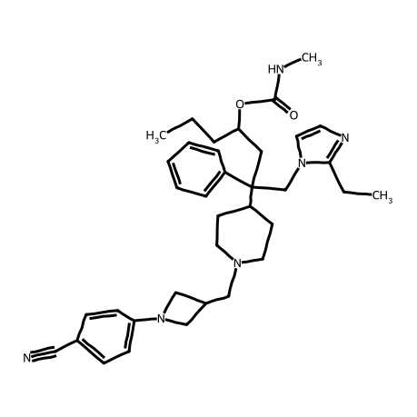 CCCC(CC(Cn1ccnc1CC)(c1ccccc1)C1CCN(CC2CN(c3ccc(C#N)cc3)C2)CC1)OC(=O)NC